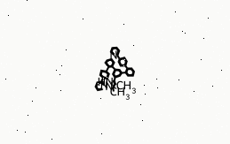 Cc1n[nH]c(-c2cc(-c3ccccc3-c3ccc(-c4ccccn4)cc3)cc(-c3ccccc3-c3ccc(-c4ccccn4)cc3)c2)c1C